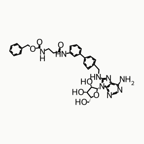 Nc1ncnc2c1nc(NCc1ccc(-c3cccc(NC(=O)CCNC(=O)OCc4ccccc4)c3)cc1)n2[C@@H]1O[C@H](CO)[C@@H](O)[C@H]1O